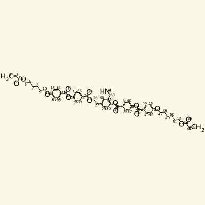 C=CC(=O)OCCCCCCOc1ccc(C(=O)Oc2ccc(C(=O)OCCc3ccc(OC(=O)c4ccc(OC(=O)c5ccc(OCCCCCCOC(=O)C=C)cc5)cc4)c(C=N)c3)cc2)cc1